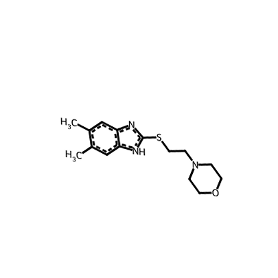 Cc1cc2nc(SCCN3CCOCC3)[nH]c2cc1C